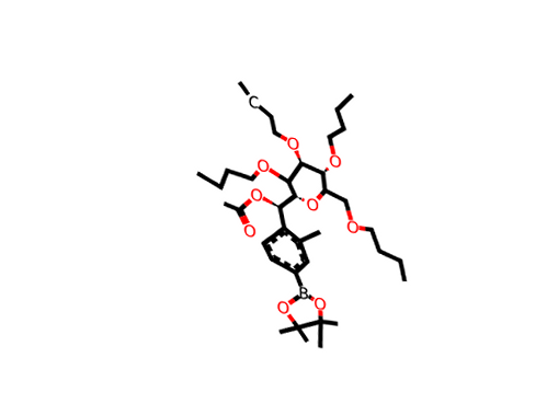 CCCCOCC1O[C@H]([C@H](OC(C)=O)c2ccc(B3OC(C)(C)C(C)(C)O3)cc2C)C(OCCCC)[C@@H](OCCCC)[C@@H]1OCCCC